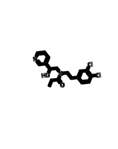 CCC(=O)N(CCc1ccc(Cl)c(Cl)c1)CC(O)c1cccnc1